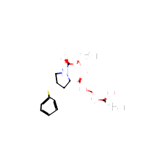 CC(C)(C)OC(=O)N1C[C@@H](Sc2ccccc2)C[C@H]1C(=O)OCOC(=O)C(C)(C)C